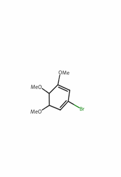 COC1=CC(Br)=CC(OC)C1OC